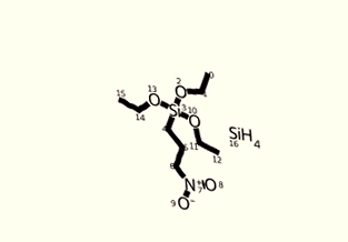 CCO[Si](CCC[N+](=O)[O-])(OCC)OCC.[SiH4]